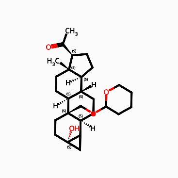 CC(=O)[C@H]1CC[C@H]2[C@@H]3CC[C@H]4C5C[C@@]5(O)CC[C@]4(COC4CCCCO4)[C@H]3CC[C@]12C